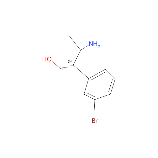 CC(N)[C@@H](CO)c1cccc(Br)c1